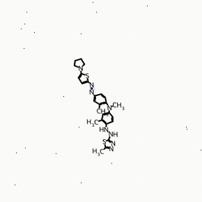 Cc1nnc(NNc2ccc(N(C)c3ccc(/N=N/c4ccc(N5CCCC5)s4)cc3C)cc2C)s1